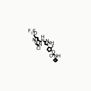 O=C(NC12CC(C1)C2)O[C@@H]1CC[C@H](c2cc(Nc3nc(Cl)cn4nc(COC(F)(F)F)cc34)n[nH]2)[C@H]1F